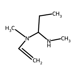 C=CN(C)C(CC)NC